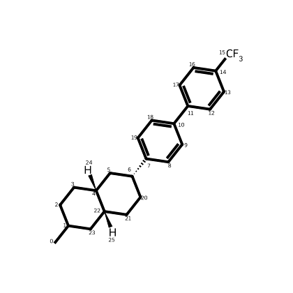 CC1CC[C@@H]2C[C@H](c3ccc(-c4ccc(C(F)(F)F)cc4)cc3)CC[C@@H]2C1